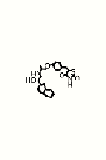 CC(COc1ccc(CC2SC(=O)NC2=O)cc1)NCC(O)c1ccc2ccccc2c1